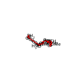 BC1CC(=O)N(CCOCCOCCOCCOCCC(=O)NC(C)C(=O)NCC(=O)Nc2ccc(COC(=O)NCC34OC5CN(O3)c3c(C)cc6c(OC)c7c(c(O)c6c3OC5(OC)C43CO3)C(=O)CCC7)cc2)C1=O